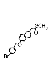 COC(=O)CC1CCc2cc(OCc3ccc(Br)cc3)ccc2C1